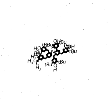 C=C(C)c1cc(Cc2ccc(Nc3c(Cc4cc(C(C)(C)C)c(O)c(C(C)(C)C)c4)cc(Cc4cc(C(C)(C)C)c(O)c(C(C)(C)C)c4)cc3-c3cc(C(C)(C)C)c(O)c(C(C)(C)C)c3)c(Cc3cc(C(C)(C)C)c(O)c(C(C)(C)C)c3)c2)cc(C(C)(C)C)c1O